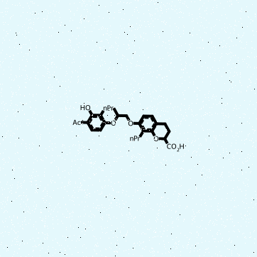 CCCc1c(OC(C)COc2ccc3c(c2CCC)OC(C(=O)O)CC3)ccc(C(C)=O)c1O